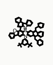 CC(C)(C)c1cc(N2c3cc4c(Cc5ccccc5)c5ccccc5c(Cc5ccccc5)c4cc3B3c4c2cc2c(oc5ccccc52)c4-c2cc4ccccc4c4c5ccccc5n3c24)cc(C(C)(C)C)c1